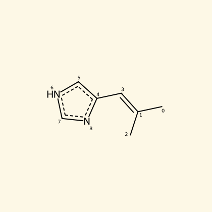 CC(C)=Cc1c[nH]cn1